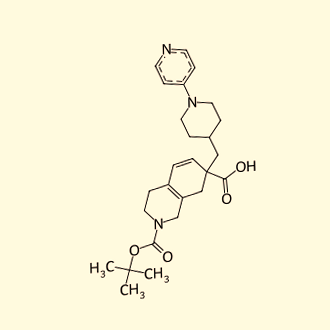 CC(C)(C)OC(=O)N1CCC2=C(C1)CC(CC1CCN(c3ccncc3)CC1)(C(=O)O)C=C2